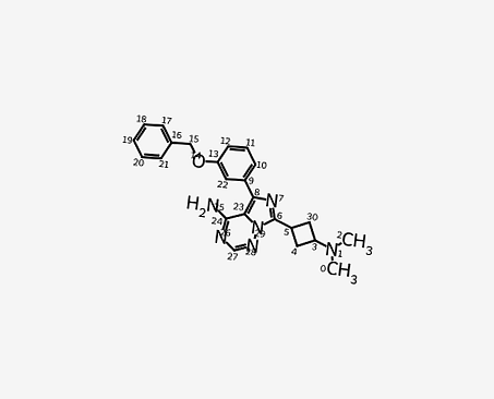 CN(C)C1CC(c2nc(-c3cccc(OCc4ccccc4)c3)c3c(N)ncnn23)C1